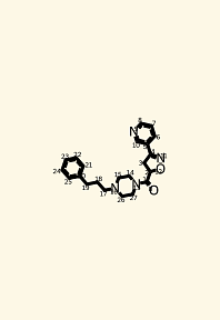 O=C(C1CC(c2cccnc2)=NO1)N1CCN(CCCc2ccccc2)CC1